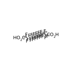 O=C(O)C(F)=C(F)C(F)(F)C(F)(F)C(F)(F)C(F)(F)C(F)(F)C(F)(F)C(F)=C(F)C(=O)O